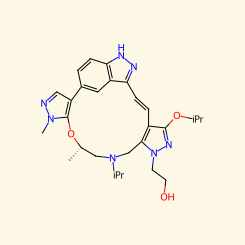 CC(C)Oc1nn(CCO)c2c1/C=C/c1n[nH]c3ccc(cc13)-c1cnn(C)c1O[C@@H](C)CN(C(C)C)C2